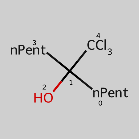 CCCCCC(O)(CCCCC)C(Cl)(Cl)Cl